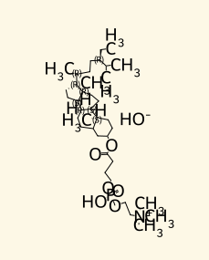 CC[C@H](CC[C@@H](C)[C@H]1CC[C@H]2[C@@H]3CCC4CC(OC(=O)CCCOP(=O)(O)OCC[N+](C)(C)C)CC[C@]4(C)[C@H]3CC[C@]12C)C(C)C.[OH-]